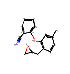 Cc1ccc(CC2CO2)c(Oc2ccccc2C#N)c1